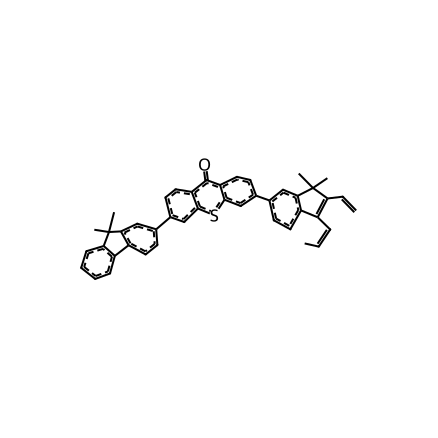 C=CC1=C(/C=C\C)c2ccc(-c3ccc4c(=O)c5ccc(-c6ccc7c(c6)C(C)(C)c6ccccc6-7)cc5sc4c3)cc2C1(C)C